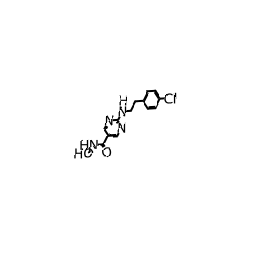 O=C(NO)c1cnc(NCCc2ccc(Cl)cc2)nc1